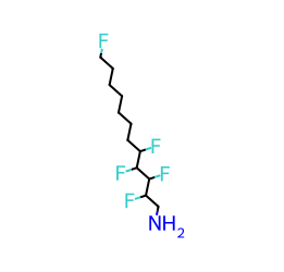 NCC(F)C(F)C(F)C(F)CCCCCCCF